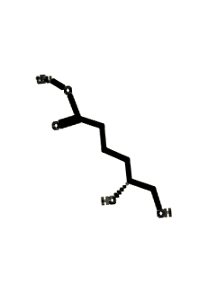 CC(C)(C)OC(=O)CCC[C@@H](O)CO